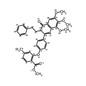 COC(=O)c1ccc(C)cc1Oc1ccc(-c2nc3c(OC)c(OC)c(OC)cc3c(=O)n2CCc2ccccc2)cc1